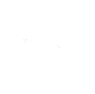 COc1ccc2c(c1)C(C)C(C)N2C1CC1